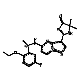 CCOc1ccc(F)cc1[C@@H](C)Nc1ccn2ncc(C3=NC(=O)C(C)(C)N3)c2n1